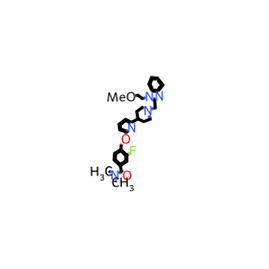 COCCn1c(CN2CCC(c3cccc(OCc4ccc(C(=O)N(C)C)cc4F)n3)CC2)nc2ccccc21